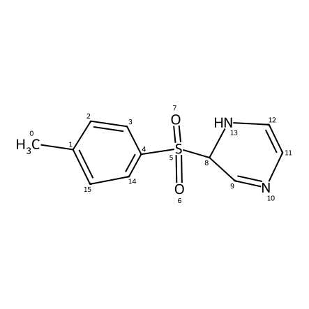 Cc1ccc(S(=O)(=O)C2C=NC=CN2)cc1